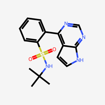 CC(C)(C)NS(=O)(=O)c1ccccc1-c1ncnc2[nH]ccc12